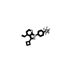 C=Cc1ccnc2c1c(C1CCC1)nn2-c1ccc(S(F)(F)(F)(F)F)cc1